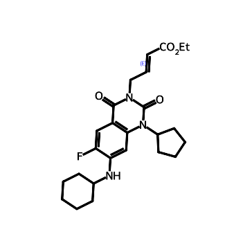 CCOC(=O)/C=C/Cn1c(=O)c2cc(F)c(NC3CCCCC3)cc2n(C2CCCC2)c1=O